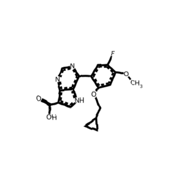 COc1cc(OCC2CC2)c(-c2ncnc3c(C(=O)O)c[nH]c23)cc1F